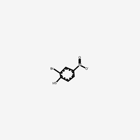 O=[N+]([O-])c1ccc(S)c(Br)c1